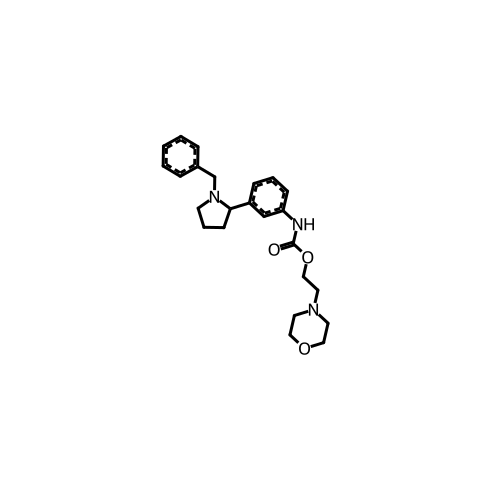 O=C(Nc1cccc(C2CCCN2Cc2ccccc2)c1)OCCN1CCOCC1